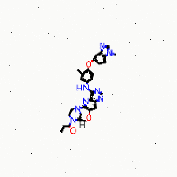 C=CC(=O)N1CCN2C[C@@H]1COc1cc3ncnc(Nc4ccc(Oc5ccc6c(c5)ncn6C)c(C)c4)c3nc12